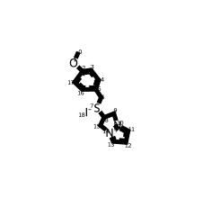 COc1ccc(CSC2Cn3ccc[n+]3C2)cc1.[I-]